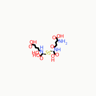 N[C@@H](CCC(=O)N[C@@H](CSSC[C@H](NC(O)CCCC(=O)O)C(=O)O)C(=O)O)C(=O)O